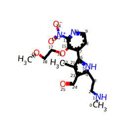 CNCCc1[nH]c(-c2ccnc([N+](=O)[O-])c2OCCOC)c(C)c1C=O